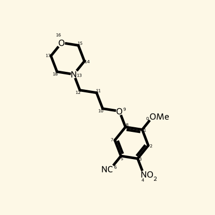 COc1cc([N+](=O)[O-])c(C#N)cc1OCCCN1CCOCC1